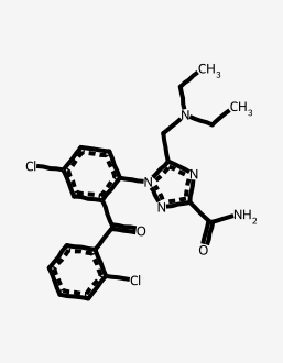 CCN(CC)Cc1nc(C(N)=O)nn1-c1ccc(Cl)cc1C(=O)c1ccccc1Cl